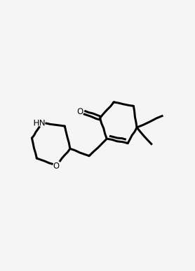 CC1(C)C=C(CC2CNCCO2)C(=O)CC1